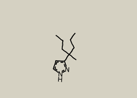 CCCC(C)(CCC)c1cc[nH]n1